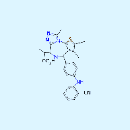 Cc1sc2c(c1C)C(c1ccc(Nc3ccccc3C#N)cc1)=N[C@@H](C(C)C(=O)O)c1nnc(C)n1-2